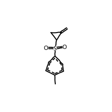 C=C1CC1S(=O)(=O)c1ccc(C)cc1